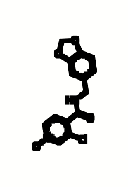 O=C(NCc1ccc2c(c1)OCO2)c1cc[n+]([O-])cc1Cl